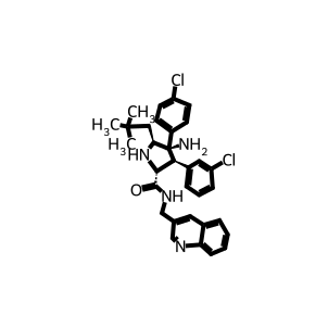 CC(C)(C)C[C@@H]1N[C@@H](C(=O)NCc2cnc3ccccc3c2)[C@H](c2cccc(Cl)c2)[C@@]1(N)c1ccc(Cl)cc1